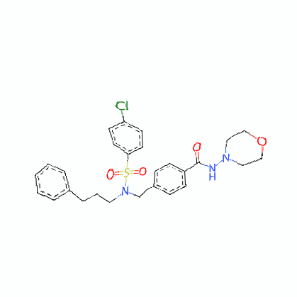 O=C(NN1CCOCC1)c1ccc(CN(CCCc2ccccc2)S(=O)(=O)c2ccc(Cl)cc2)cc1